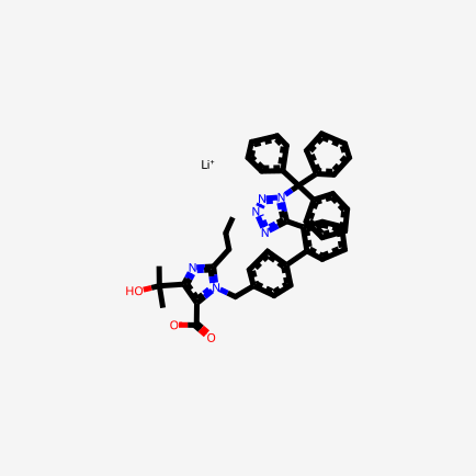 CCCc1nc(C(C)(C)O)c(C(=O)[O-])n1Cc1ccc(-c2ccccc2-c2nnnn2C(c2ccccc2)(c2ccccc2)c2ccccc2)cc1.[Li+]